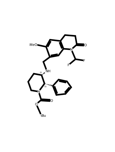 COc1cc2c(cc1CN[C@H]1CCCN(C(=O)OC(C)(C)C)[C@H]1c1ccccc1)N(C(F)F)C(=O)CC2